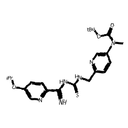 CC(C)Oc1ccc(C(=N)NC(=S)NCc2ccc(N(C)C(=O)OC(C)(C)C)cn2)nc1